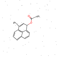 CCCC(=O)OC1C=C(C(C)C)c2cccc3cccc1c23